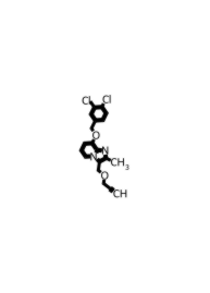 C#CCOCc1c(C)nc2c(OCc3ccc(Cl)c(Cl)c3)cccn12